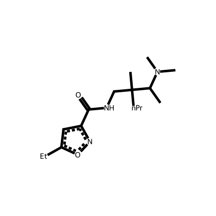 CCCC(C)(CNC(=O)c1cc(CC)on1)C(C)N(C)C